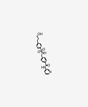 O=C(Nc1cccnc1)c1ccc(CNS(=O)(=O)c2ccc(CCCO)cc2)cc1